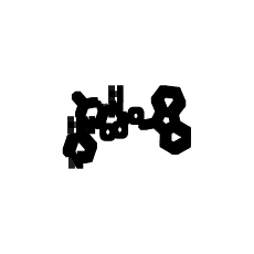 CC(C)C[C@H](NC(=O)OCC1c2ccccc2-c2ccccc21)C(=O)Nc1ccncc1